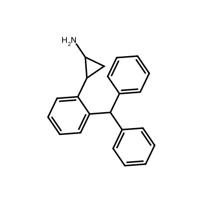 NC1CC1c1ccccc1C(c1ccccc1)c1ccccc1